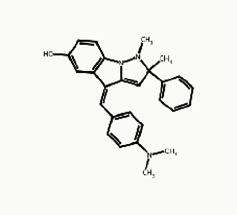 CN(C)c1ccc(/C=c2\c3n(c4ccc(O)cc24)N(C)C(C)(c2ccccc2)C=3)cc1